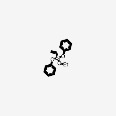 C=C[Si](OCC)(Oc1ccccc1)Oc1ccccc1